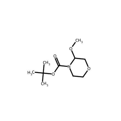 COC1COCCN1C(=O)OC(C)(C)C